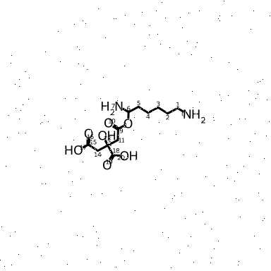 NCCCCCC(N)OC(=O)CC(O)(CC(=O)O)C(=O)O